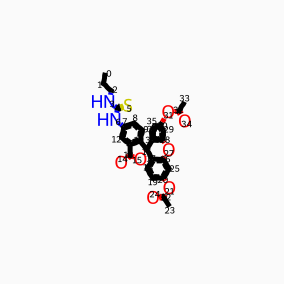 CCCNC(=S)Nc1ccc2c(c1)C(=O)OC21c2ccc(OC(C)=O)cc2Oc2cc(OC(C)=O)ccc21